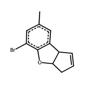 Cc1cc(Br)c2c(c1)C1C=CCC1O2